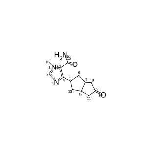 Cn1cnc(C2CC3CC(=O)CC3C2)c1C(N)=O